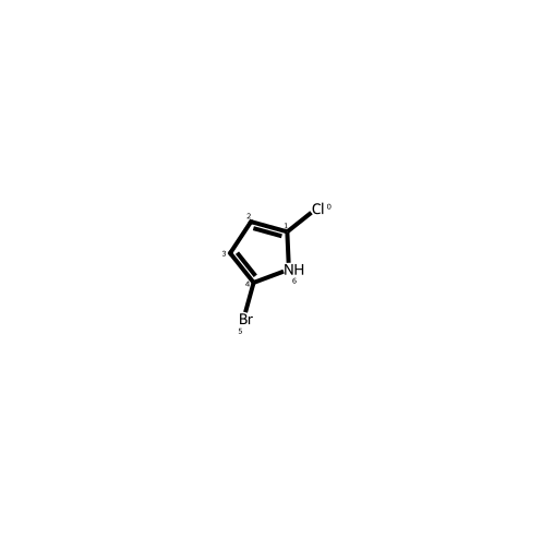 Clc1ccc(Br)[nH]1